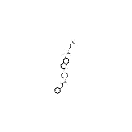 CCN(CC)CCNC(=S)Nc1ccc2nc(N3CCN(C(=O)C(N)Cc4ccccc4)CC3)ccc2c1